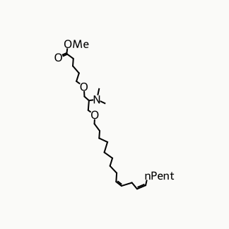 CCCCC/C=C\C/C=C\CCCCCCCCOCC(COCCCCC(=O)OC)N(C)C